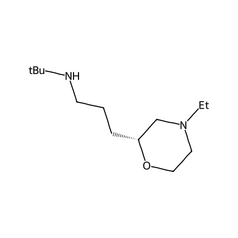 CCN1CCO[C@H](CCCNC(C)(C)C)C1